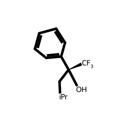 CC(C)C[C@@](O)(c1ccccc1)C(F)(F)F